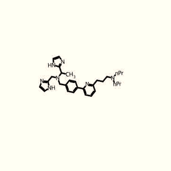 CCCN(CCC)CCCc1cccc(-c2ccc(CN(Cc3ncc[nH]3)C(C)c3ncc[nH]3)cc2)n1